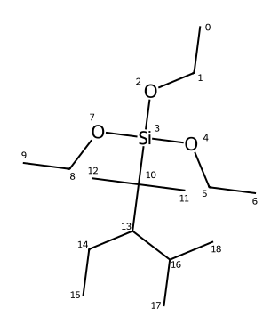 CCO[Si](OCC)(OCC)C(C)(C)C(CC)C(C)C